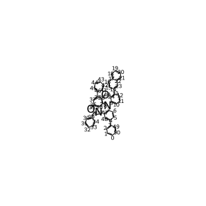 c1ccc(-c2ccc(N(c3cccc(-c4ccc5ccccc5c4)c3)c3c4nc(-c5ccccc5)oc4cc4c3oc3ccccc34)cc2)cc1